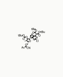 CC(=O)C(C#N)OC[C@H]1O[C@@H](n2cnc3c(N(C(=O)OC(C)(C)C)C(=O)OC(C)(C)C)nc(Cl)nc32)[C@H](OC(=O)OC(C)(C)C)[C@@H]1C